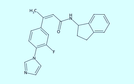 CC(=CC(=O)NC1CCc2ccccc21)c1ccc(-n2ccnc2)c(F)c1